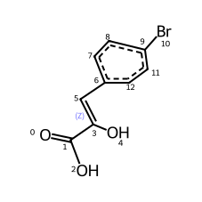 O=C(O)/C(O)=C/c1ccc(Br)cc1